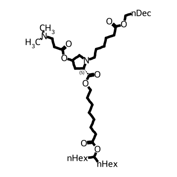 CCCCCCCCCCCOC(=O)CCCCCN1CC(OC(=O)CCN(C)C)C[C@H]1C(=O)OCCCCCCCC(=O)OC(CCCCCC)CCCCCC